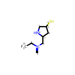 C=[N+](CC1CC(S)CN1)CC(F)(F)F